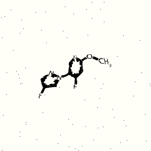 COc1cc(F)c(-n2cc(F)cn2)cn1